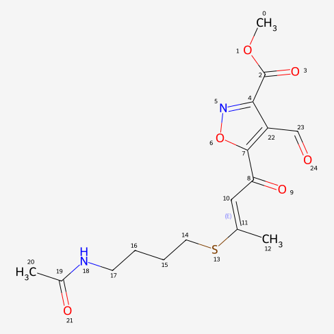 COC(=O)c1noc(C(=O)/C=C(\C)SCCCCNC(C)=O)c1C=O